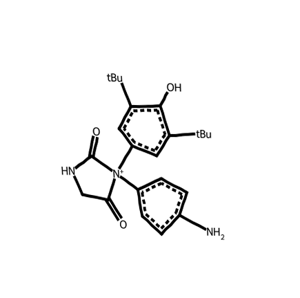 CC(C)(C)c1cc([N+]2(c3ccc(N)cc3)C(=O)CNC2=O)cc(C(C)(C)C)c1O